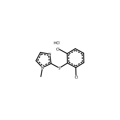 Cl.Cn1ccnc1Sc1c(Cl)cccc1Cl